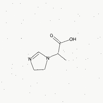 CC(C(=O)O)N1C=NCC1